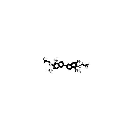 Pc1cc2cc(-c3ccc4c(P)c(OCC5CO5)c(P)cc4c3)ccc2c(P)c1OCC1CO1